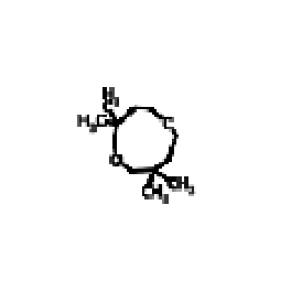 CC1(C)CCCCCC(C)(C)COC1